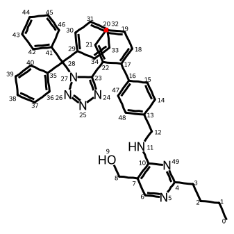 CCCCc1ncc(CO)c(NCc2ccc(-c3ccccc3-c3nnnn3C(c3ccccc3)(c3ccccc3)c3ccccc3)cc2)n1